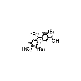 CCCC(c1ccc(CO)c(C(C)(C)C)c1)c1ccc(CO)c(C(C)(C)C)c1